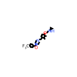 Cc1c(CCN2CCN(C(=O)c3ccc(C(F)(F)F)cc3)CC2)ccc(OCCNC2CC2)c1C